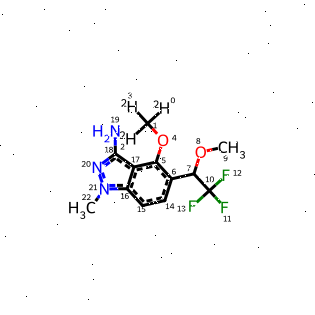 [2H]C([2H])([2H])Oc1c(C(OC)C(F)(F)F)ccc2c1c(N)nn2C